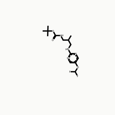 CC(CNC(=O)OC(C)(C)C)CNc1ncc(OC(F)F)cn1